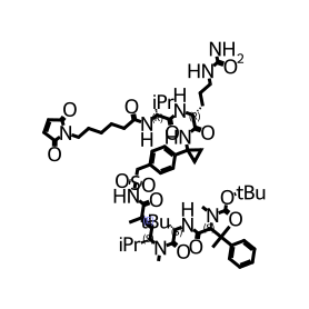 C/C(=C\[C@H](C(C)C)N(C)C(=O)[C@@H](NC(=O)[C@@H](N(C)C(=O)OC(C)(C)C)C(C)(C)c1ccccc1)C(C)(C)C)C(=O)NS(=O)(=O)Cc1ccc(C2(NC(=O)[C@@H](CCCNC(N)=O)NC(=O)[C@H](NC(=O)CCCCCN3C(=O)C=CC3=O)C(C)C)CC2)cc1